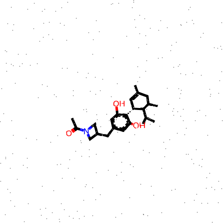 CC(=O)N1CC(Cc2cc(O)c([C@@H]3C=C(C)CC(C)C3C(C)C)c(O)c2)C1